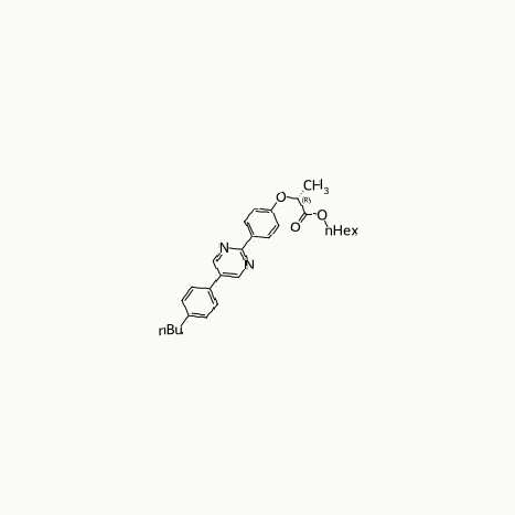 CCCCCCOC(=O)[C@@H](C)Oc1ccc(-c2ncc(-c3ccc(CCCC)cc3)cn2)cc1